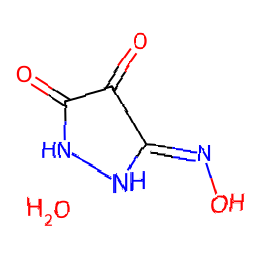 O.O=C1NN/C(=N\O)C1=O